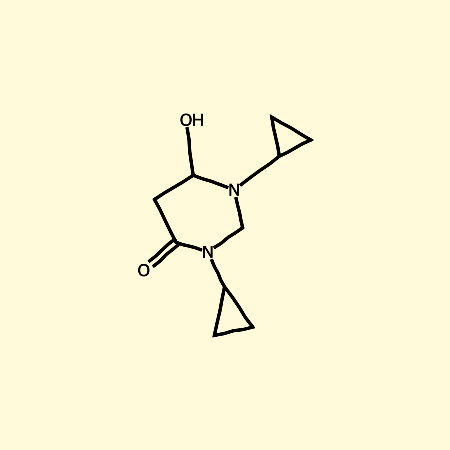 O=C1CC(O)N(C2CC2)CN1C1CC1